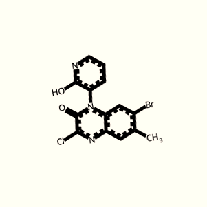 Cc1cc2nc(Cl)c(=O)n(-c3cccnc3O)c2cc1Br